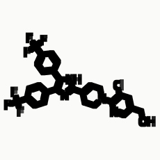 OCc1cnc(N2CC=C(c3nc(-c4ccc(C(F)(F)F)cc4)c(-c4ccc(C(F)(F)F)cc4)[nH]3)CC2)c(Cl)c1